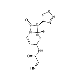 N=CC(=O)NC1C=CN2C(=O)[C@@H](c3csnn3)[C@@H]2S1